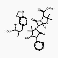 CCCCCCCC[S+]([O-])C(C)Cc1ccc2c(c1)OCO2.COC(=O)[C@@H]1N2C(=O)C(N3C(=O)C(c4ccccc4)N(N=O)C3(C)C)[C@H]2SC1(C)C